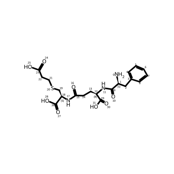 N[C@@H](Cc1ccccc1)C(=O)N[C@H](CCC(=O)N[C@H](CSCCC(=O)O)C(=O)O)C(=O)O